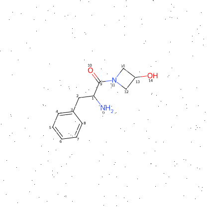 NC(Cc1ccccc1)C(=O)N1CC(O)C1